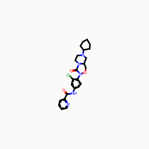 O=C(Nc1ccc(N2OCC3CN(C4CCCCC4)CCN3C2=O)c(Cl)c1)c1ccccn1